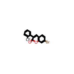 O=c1oc2cc(Br)ccc2cc1-c1ccccc1C(F)(F)F